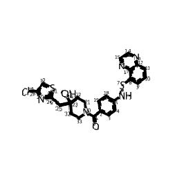 O=C(c1ccc(NSc2cccc3nccnc23)cc1)N1CCC(O)(Cc2nc(Cl)cs2)CC1